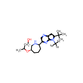 [2H]C([2H])([2H])n1c(C(C)(C)C)cc2ncc(C3CCC[C@@H](OC(C)C)[C@H](CO)N3)nc21